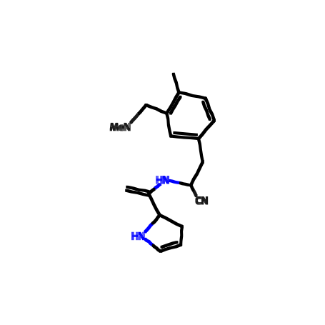 C=C(NC(C#N)Cc1ccc(C)c(CNC)c1)C1CC=CN1